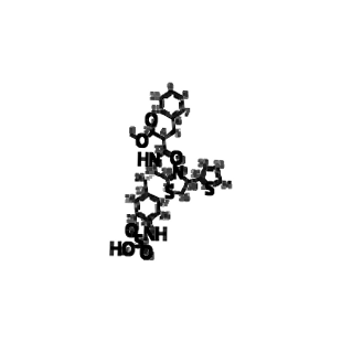 COC(=O)[C@@H](Cc1ccccc1)C(=O)N[C@@H](Cc1ccc(NS(=O)(=O)O)cc1)C1=NC(c2cccs2)CS1